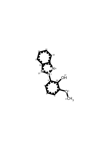 COc1cccc(-n2nc3ccccc3n2)c1O